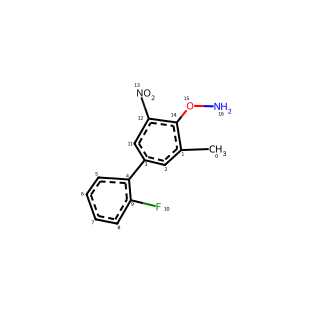 Cc1cc(-c2ccccc2F)cc([N+](=O)[O-])c1ON